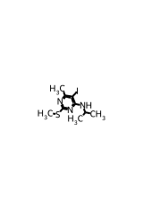 CSc1nc(C)c(I)c(NC(C)C)n1